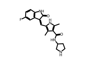 Cc1[nH]c(C=C2C(=O)Nc3ccc(F)cc32)c(C)c1C(=O)NC1CCNC1